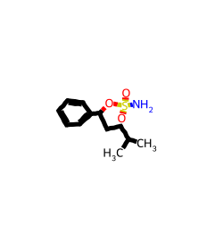 CC(C)CCC(OS(N)(=O)=O)c1ccccc1